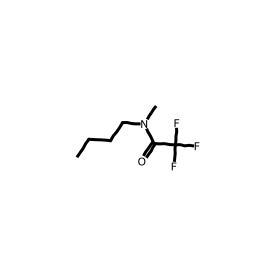 CCCCN(C)C(=O)C(F)(F)F